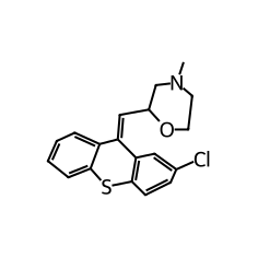 CN1CCOC(C=C2c3ccccc3Sc3ccc(Cl)cc32)C1